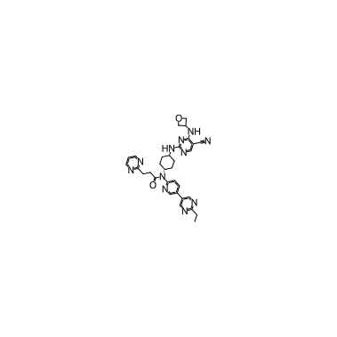 CCc1ncc(-c2ccc(N(C(=O)CCc3ncccn3)[C@H]3CC[C@H](Nc4ncc(C#N)c(NC5COC5)n4)CC3)nc2)cn1